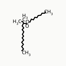 CCCCCCCCCCCCCCC(C(=O)OCCCCCCCCCC)C(C)C